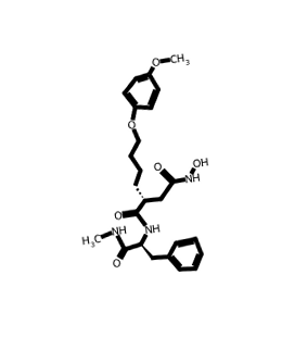 CNC(=O)[C@H](Cc1ccccc1)NC(=O)[C@H](CCCCOc1ccc(OC)cc1)CC(=O)NO